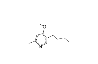 CCCCc1cnc(C)cc1OCC